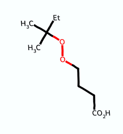 CCC(C)(C)OOCCCC(=O)O